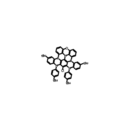 CC(C)(C)c1ccc(N2c3ccc(C(C)(C)C)cc3B3c4cccc5c4N4c6c(cccc6B6c7cc(C(C)(C)C)ccc7N(c7ccc(C(C)(C)C)cc7)c7c(Cl)c2c3c4c76)O5)cc1